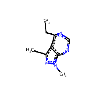 CCc1ncnc2c1c(C)nn2C